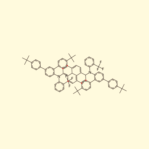 CC(C)(C)c1ccc(-c2ccc(N(C3=C4C=CC5=C6C(=CC=C(C=C3)C46)C(N(c3ccc(-c4ccc(C(C)(C)C)cc4)cc3-c3ccc(C(C)(C)C)cc3)c3ccccc3C(F)(F)F)C=C5)c3ccccc3C(F)(F)F)c(-c3ccc(C(C)(C)C)cc3)c2)cc1